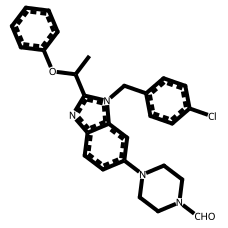 CC(Oc1ccccc1)c1nc2ccc(N3CCN(C=O)CC3)cc2n1Cc1ccc(Cl)cc1